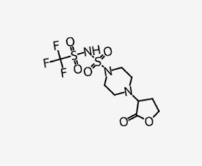 O=C1OCCC1N1CCN(S(=O)(=O)NS(=O)(=O)C(F)(F)F)CC1